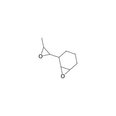 CC1OC1C1CCCC2OC21